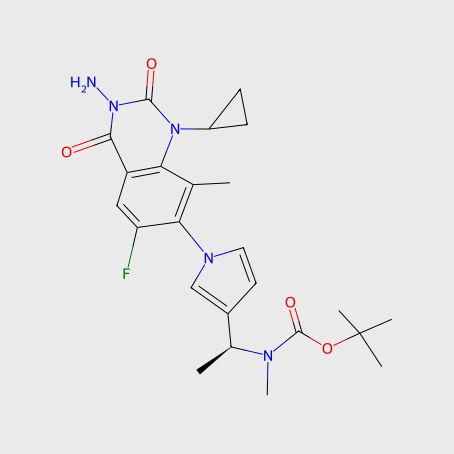 Cc1c(-n2ccc([C@H](C)N(C)C(=O)OC(C)(C)C)c2)c(F)cc2c(=O)n(N)c(=O)n(C3CC3)c12